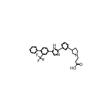 O=C(O)CCN1CCC(c2cccc(-c3ncc(-c4ccc(-c5ccccc5)c(C(F)(F)F)c4)[nH]3)c2)C1